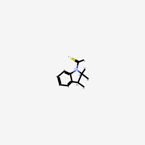 CC(=S)N1c2ccccc2C(C)C1(C)C